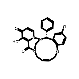 O=C1c2c(O)c(=O)ccn2N2CN1C/C=C\COc1ccc(Cl)cc1[C@H]2c1ccccc1